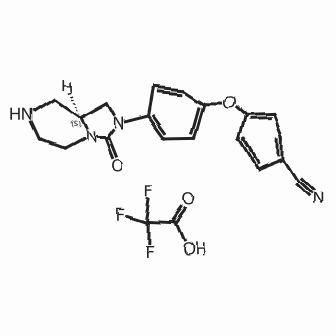 N#Cc1ccc(Oc2ccc(N3C[C@@H]4CNCCN4C3=O)cc2)cc1.O=C(O)C(F)(F)F